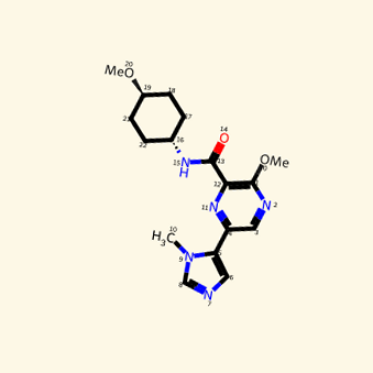 COc1ncc(-c2cncn2C)nc1C(=O)N[C@H]1CC[C@H](OC)CC1